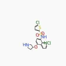 Cl.O=S(=O)(Nc1ccc(OC2CCNC2)c2ccccc12)c1ccc(Cl)s1